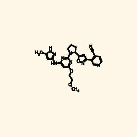 COCCOc1cc(Nc2cc(C)[nH]n2)nc(N2CCCC2c2cc(-c3cnccc3C#N)no2)n1